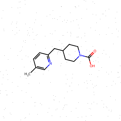 Cc1ccc(CC2CCN(C(=O)O)CC2)nc1